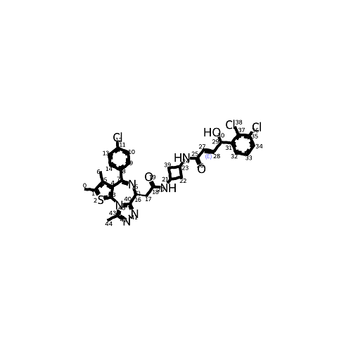 Cc1sc2c(c1C)C(c1ccc(Cl)cc1)=N[C@@H](CC(=O)NC1CC(NC(=O)/C=C/C(O)c3cccc(Cl)c3Cl)C1)c1nnc(C)n1-2